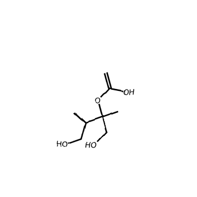 C=C(O)OC(C)(CO)C(C)CO